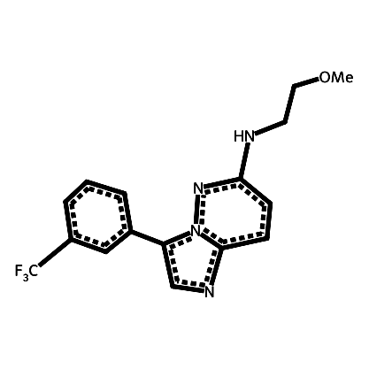 COCCNc1ccc2ncc(-c3cccc(C(F)(F)F)c3)n2n1